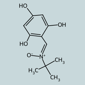 CC(C)(C)[N+]([O-])=Cc1c(O)cc(O)cc1O